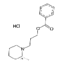 C[C@@H]1CCCCN1CCCOC(=O)c1ccccc1.Cl